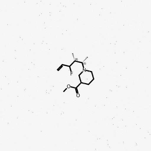 C=CC(F)[C@H](C)[C@H](C)N1CCCC(C(=O)OC)C1